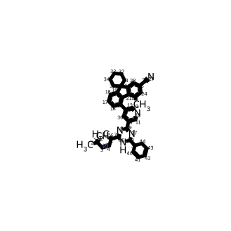 C=C(C)/C=C\C(=C)C1=NC(c2cncc(-c3cccc4c3-c3c(C)cc(C#N)cc3C43CCCCC3)c2)=NC(C2C=CC=CC2)N1